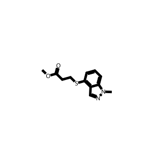 COC(=O)CCSc1cccc2c1cnn2C